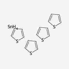 [SnH4].c1ccsc1.c1ccsc1.c1ccsc1.c1ccsc1